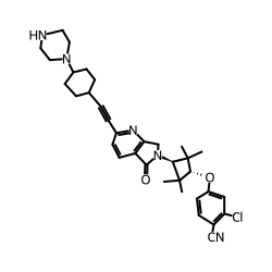 CC1(C)[C@H](Oc2ccc(C#N)c(Cl)c2)C(C)(C)[C@H]1N1Cc2nc(C#CC3CCC(N4CCNCC4)CC3)ccc2C1=O